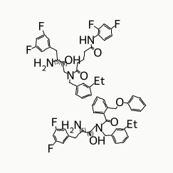 CCc1cccc(CN(C[C@@H](O)[C@@H](N)Cc2cc(F)cc(F)c2)C(=O)CCCC(=O)Nc2ccc(F)cc2F)c1.CCc1cccc(CN(C[C@@H](O)[C@@H](N)Cc2cc(F)cc(F)c2)C(=O)c2ccccc2COc2ccccc2)c1